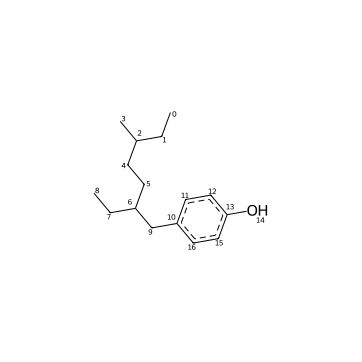 CCC(C)CCC(CC)Cc1ccc(O)cc1